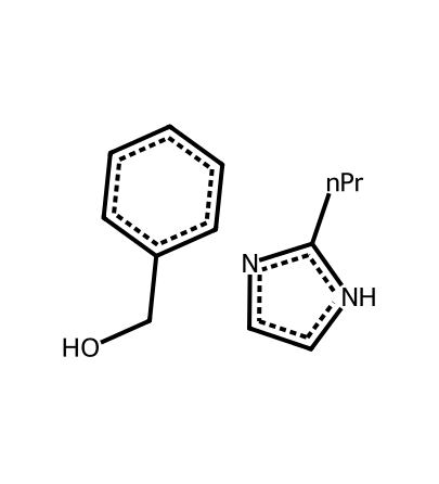 CCCc1ncc[nH]1.OCc1ccccc1